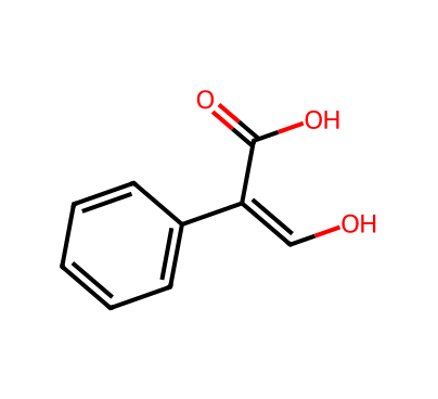 O=C(O)C(=CO)c1ccccc1